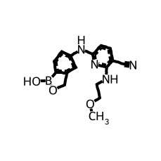 COCCNc1nc(Nc2ccc3c(c2)COB3O)ccc1C#N